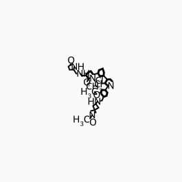 COc1cc(-c2nccc(-c3cccc(-c4ccc(CNCC5CCC(=O)N5)c(OC)n4)c3Cl)c2Cl)ccc1CNC1CC2(C1)CN(C(C)=O)C2